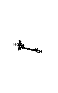 CC(C)CCC(CCCCCCCCCCCC(=O)O)C(C(C)C)C(CCC(C)C)C(=O)O